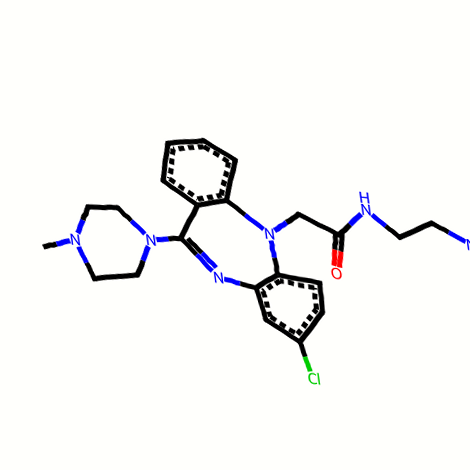 CN1CCN(C2=Nc3cc(Cl)ccc3N(CC(=O)NCCN)c3ccccc32)CC1